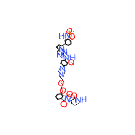 COc1cc(N2CCN(CCOCCOc3cccc4c3C(=O)N(C3CCCNC3=O)C4=O)CC2)ccc1Nc1ncc2ccc(-c3cccc(NS(C)(=O)=O)c3)n2n1